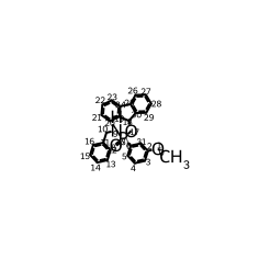 COc1cccc([P@@](=O)(NCc2ccccc2)OC2c3ccccc3-c3ccccc32)c1